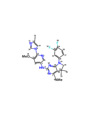 CNc1nc(Nc2cnc(-n3cnc(C)c3)c(OC)c2)nc2c1C(C)(C)CN2c1ccc(F)c(F)c1